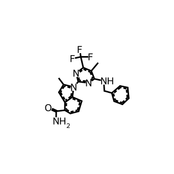 Cc1c(NCc2ccccc2)nc(-n2c(C)cc3c(C(N)=O)cccc32)nc1C(F)(F)F